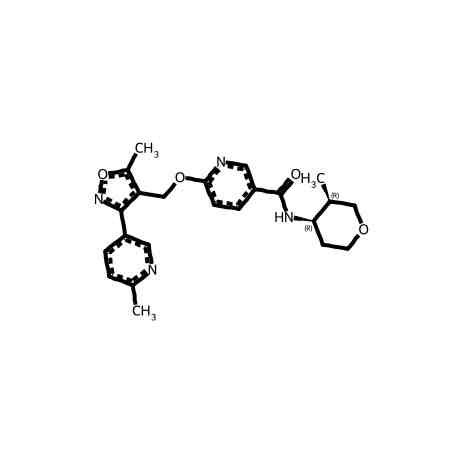 Cc1ccc(-c2noc(C)c2COc2ccc(C(=O)N[C@@H]3CCOC[C@@H]3C)cn2)cn1